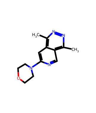 Cc1nnc(C)c2cc(N3CCOCC3)ncc12